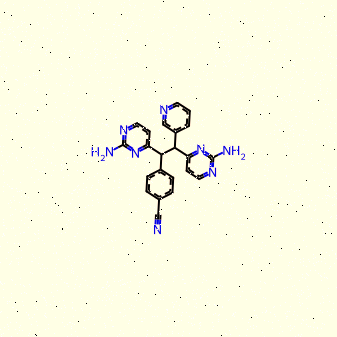 N#Cc1ccc(C(c2ccnc(N)n2)C(c2cccnc2)c2ccnc(N)n2)cc1